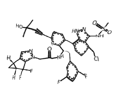 CC(C)(O)C#Cc1ccc(-c2ccc(CCl)c3c(NS(C)(=O)=O)n[nH]c23)c([C@H](Cc2cc(F)cc(F)c2)NC(=O)Cn2ncc3c2C(F)(F)[C@@H]2C[C@H]32)n1